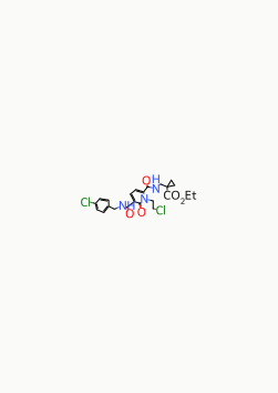 CCOC(=O)C1(CNC(=O)c2ccc(C(=O)NCc3ccc(Cl)cc3)c(=O)n2CCCl)CC1